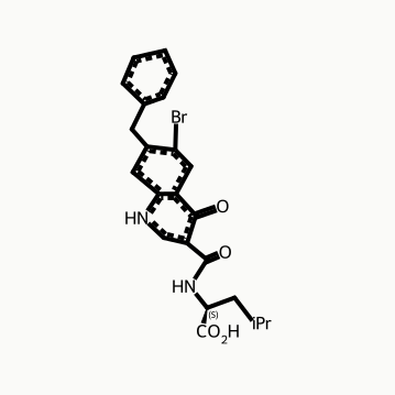 CC(C)C[C@H](NC(=O)c1c[nH]c2cc(Cc3ccccc3)c(Br)cc2c1=O)C(=O)O